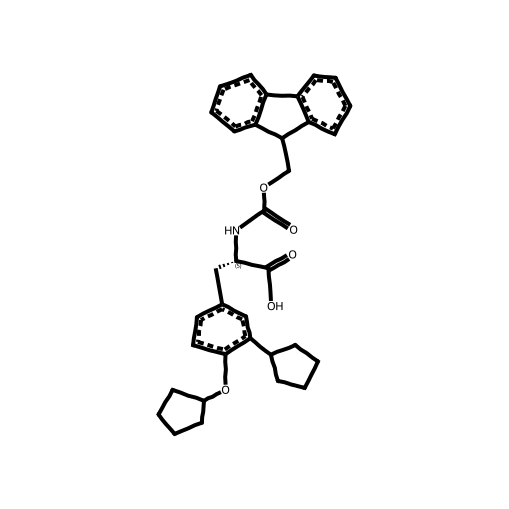 O=C(N[C@@H](Cc1ccc(OC2CCCC2)c(C2CCCC2)c1)C(=O)O)OCC1c2ccccc2-c2ccccc21